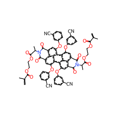 C=C(C)C(=O)OCCOC(=O)C(C)N1C(=O)c2cc(Oc3cccc(C#N)c3)c3c4c(Oc5cccc(C#N)c5)cc5c6c(cc(Oc7cccc(C#N)c7)c(c7c(Oc8cccc(C#N)c8)cc(c2c37)C1=O)c64)C(=O)N(C(C)C(=O)OCCOC(=O)C(=C)C)C5=O